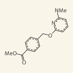 CNc1cccc(OCc2ccc(C(=O)OC)cc2)n1